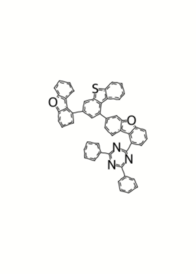 c1ccc(-c2nc(-c3ccccc3)nc(-c3cccc4oc5cc(-c6cc(-c7cccc8oc9ccccc9c78)cc7sc8ccccc8c67)ccc5c34)n2)cc1